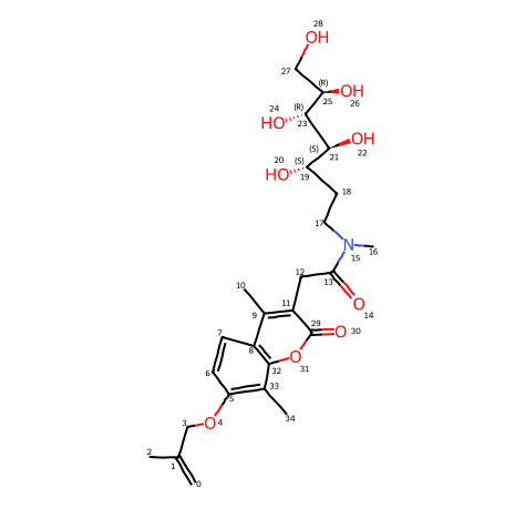 C=C(C)COc1ccc2c(C)c(CC(=O)N(C)CC[C@H](O)[C@H](O)[C@H](O)[C@H](O)CO)c(=O)oc2c1C